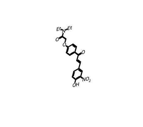 CCN(CC)C(=O)COc1ccc(C(=O)/C=C/c2ccc(O)c([N+](=O)[O-])c2)cc1